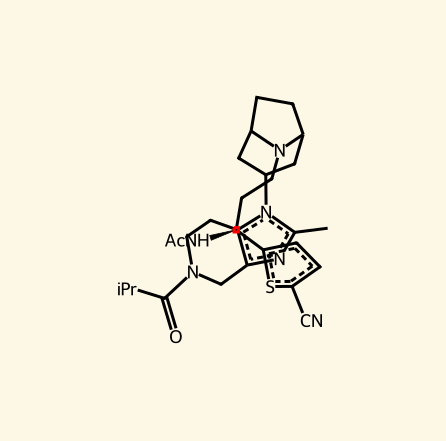 CC(=O)N[C@@H](CCN1C2CCC1CC(n1c(C)nc3c1CCN(C(=O)C(C)C)C3)C2)c1ccc(C#N)s1